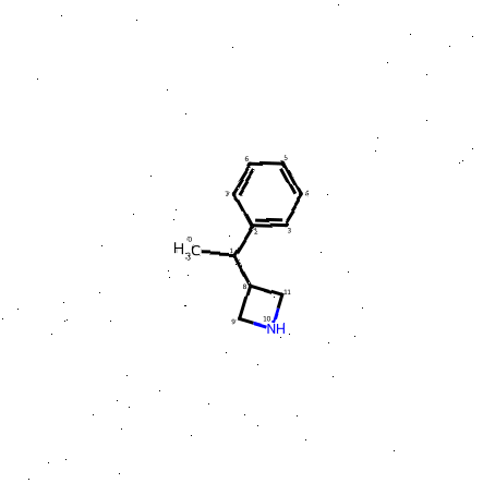 CC(c1ccccc1)C1CNC1